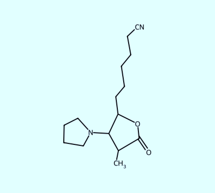 CC1C(=O)OC(CCCCCC#N)C1N1CCCC1